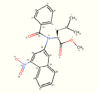 COC(=O)[C@H](CC(C)C)N(C(=O)c1ccccc1)c1cc([N+](=O)[O-])c2ccccc2c1